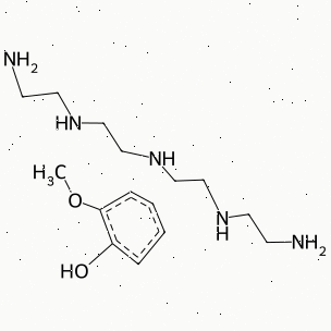 COc1ccccc1O.NCCNCCNCCNCCN